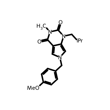 COc1ccc(Cn2cc3c(=O)n(C)c(=O)n(CC(C)C)c3c2)cc1